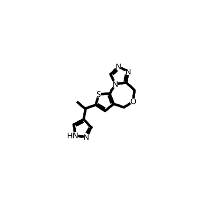 CC(c1cn[nH]c1)c1cc2c(s1)-n1cnnc1COC2